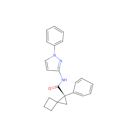 O=C(Nc1ccn(-c2ccccc2)n1)[C@@]1(c2ccccc2)CC12CCC2